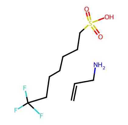 C=CCN.O=S(=O)(O)CCCCCCC(F)(F)F